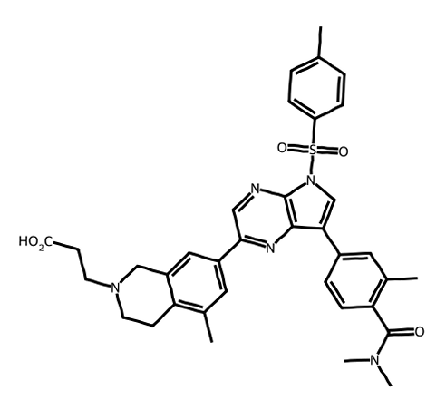 Cc1ccc(S(=O)(=O)n2cc(-c3ccc(C(=O)N(C)C)c(C)c3)c3nc(-c4cc(C)c5c(c4)CN(CCC(=O)O)CC5)cnc32)cc1